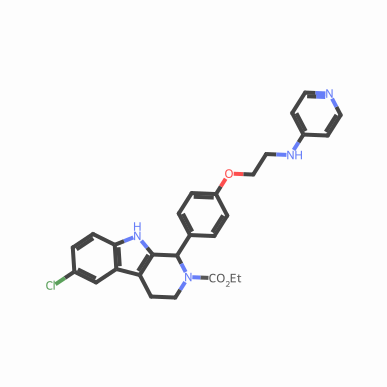 CCOC(=O)N1CCc2c([nH]c3ccc(Cl)cc23)C1c1ccc(OCCNc2ccncc2)cc1